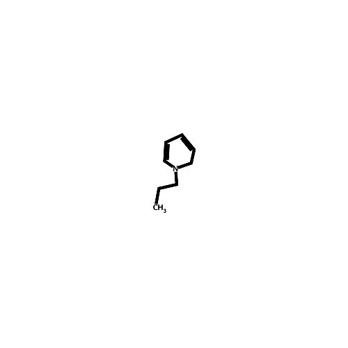 CCCN1C=CC=CC1